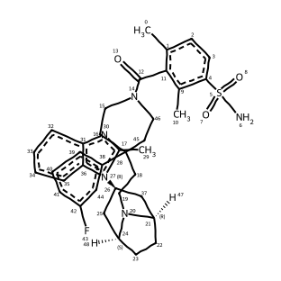 Cc1ccc(S(N)(=O)=O)c(C)c1C(=O)N1CCC(CCN2[C@@H]3CC[C@H]2C[C@@H](n2c(C)nc4ccccc42)C3)(c2cccc(F)c2)CC1